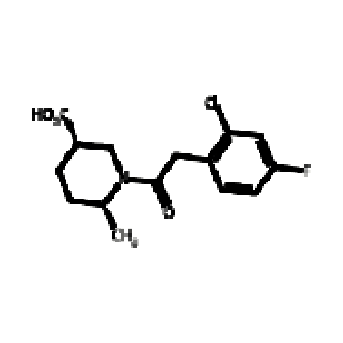 C[C@H]1CC[C@@H](C(=O)O)CN1C(=O)Cc1ccc(F)cc1Cl